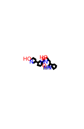 CCCOc1ccc(-c2ccc(O)nc2)cc1C(=O)NC(CO)Cc1c[nH]c2ccccc12